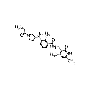 C=CC(=O)N1CCC(N(CC)c2cccc(C(=O)NCc3c(C)cc(C)[nH]c3=O)c2C)C1